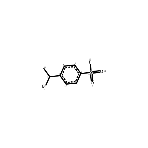 CC(Br)c1ccc(S(=O)(=O)F)cc1